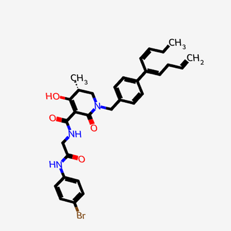 C=CC/C=C(\C=C/CC)c1ccc(CN2C[C@@H](C)C(O)=C(C(=O)NCC(=O)Nc3ccc(Br)cc3)C2=O)cc1